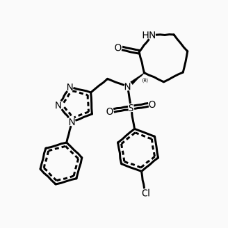 O=C1NCCCC[C@H]1N(Cc1cn(-c2ccccc2)nn1)S(=O)(=O)c1ccc(Cl)cc1